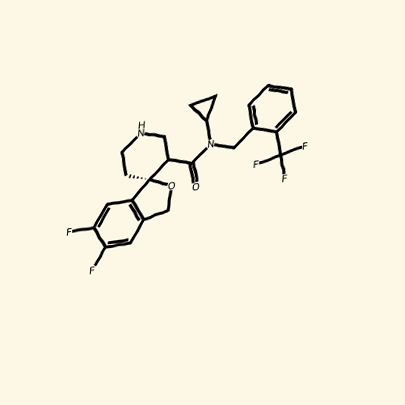 O=C(C1CNCC[C@@]12OCc1cc(F)c(F)cc12)N(Cc1ccccc1C(F)(F)F)C1CC1